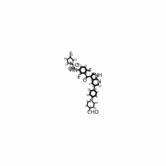 O=CC1CCN(c2ccc(-c3cnc4[nH]cc(C(=O)c5c(F)ccc(NS(=O)(=O)N6CCC(F)C6)c5F)c4c3)cc2)CC1